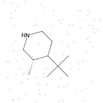 C[C@@H]1CNCCC1C(C)(C)C